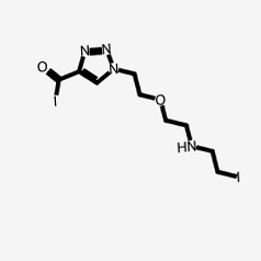 O=C(I)c1cn(CCOCCNCCI)nn1